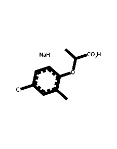 Cc1cc(Cl)ccc1OC(C)C(=O)O.[NaH]